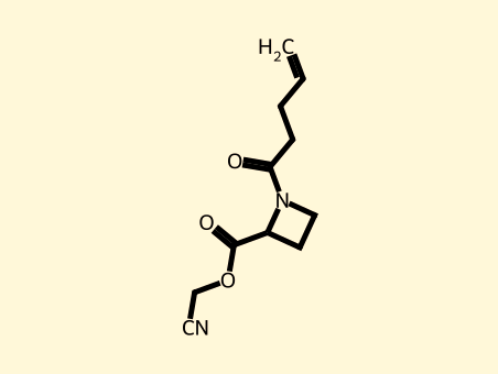 C=CCCC(=O)N1CCC1C(=O)OCC#N